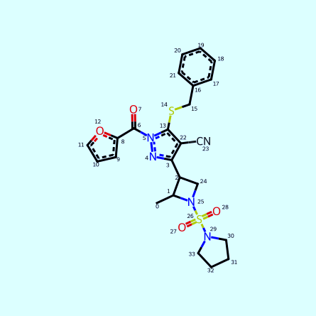 CC1C(c2nn(C(=O)c3ccco3)c(SCc3ccccc3)c2C#N)CN1S(=O)(=O)N1CCCC1